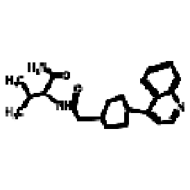 CC(C)[C@H](NC(=O)CC1CCC(c2ccnc3ccccc23)CC1)C(N)=O